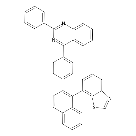 c1ccc(-c2nc(-c3ccc(-c4ccc5ccccc5c4-c4cccc5ncsc45)cc3)c3ccccc3n2)cc1